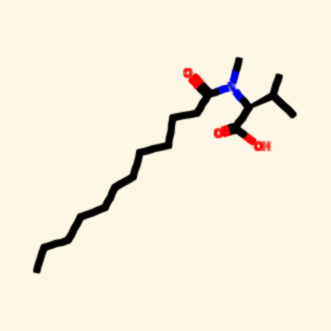 CCCCCCCCCCCC(=O)N(C)[C@H](C(=O)O)C(C)C